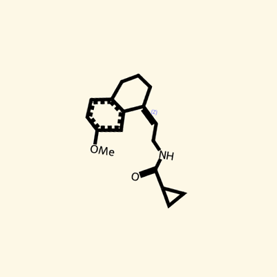 COc1ccc2c(c1)/C(=C\CNC(=O)C1CC1)CCC2